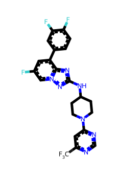 Fc1cc(-c2ccc(F)c(F)c2)c2nc(NC3CCN(c4cc(C(F)(F)F)ncn4)CC3)nn2c1